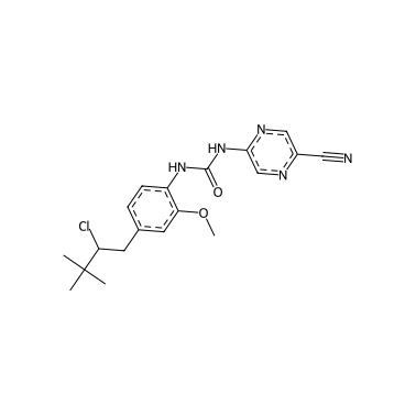 COc1cc(CC(Cl)C(C)(C)C)ccc1NC(=O)Nc1cnc(C#N)cn1